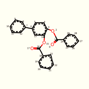 O=C(Oc1ccc(-c2ccccc2)cc1OC(=O)c1ccccc1)c1ccccc1